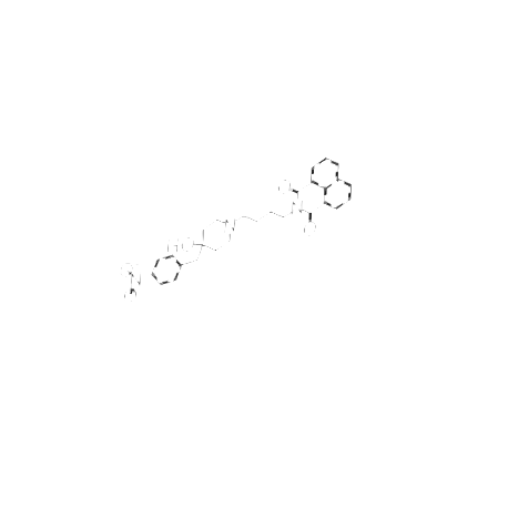 O=C1c2cccc3cccc(c23)C(=O)N1CCCCN1CCC(O)(Cc2ccc([N+](=O)[O-])cc2)CC1